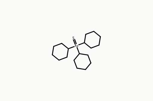 S=[As](C1CCCCC1)(C1CCCCC1)C1CCCCC1